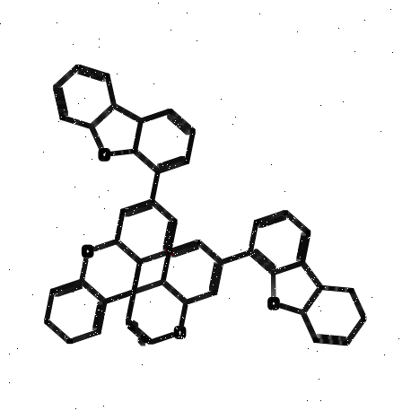 C1=CC2OC3C(C4=CC5OC6=CCCC=C6C6(C5C=C4)C4C=CC=CC4OC4C=C(c5cccc7c5OC5C=CCCC75)C=CC46)=CC=CC3C2C=C1